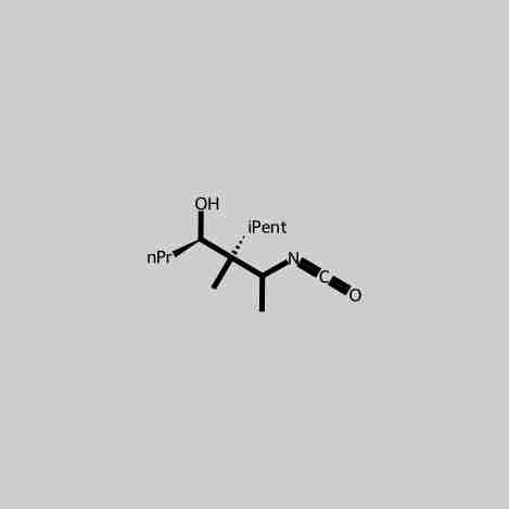 CCC[C@@H](O)C(C)(C(C)N=C=O)[C@@H](C)CCC